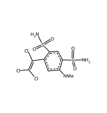 CNc1cc(C(Cl)=C(Cl)Cl)c(S(N)(=O)=O)cc1S(N)(=O)=O